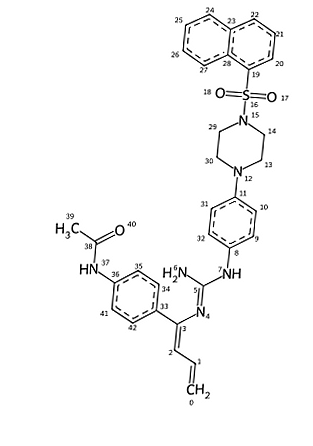 C=C/C=C(\N=C(/N)Nc1ccc(N2CCN(S(=O)(=O)c3cccc4ccccc34)CC2)cc1)c1ccc(NC(C)=O)cc1